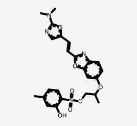 Cc1ccc(S(=O)(=O)OCC(C)Oc2ccc3nc(C=Cc4cnc(N(C)C)s4)oc3c2)c(O)c1